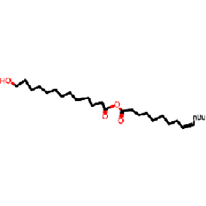 CCCC/C=C\CCCCCCCC(=O)OC(=O)CCCCCCCCCCCCO